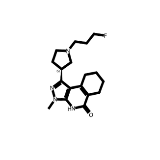 Cn1nc([C@H]2CCN(CCCF)C2)c2c3c(c(=O)[nH]c21)CCCC3